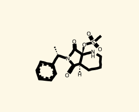 C[C@@H](c1ccccc1)N1C(=O)[C@@H]2CCCN[C@@]2(OS(C)(=O)=O)C1=O